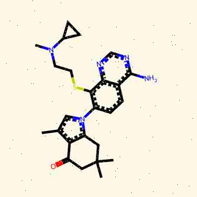 Cc1cn(-c2ccc3c(N)ncnc3c2SCCN(C)C2CC2)c2c1C(=O)CC(C)(C)C2